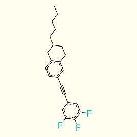 CCCCCC1CCc2cc(C#Cc3cc(F)c(F)c(F)c3)ccc2C1